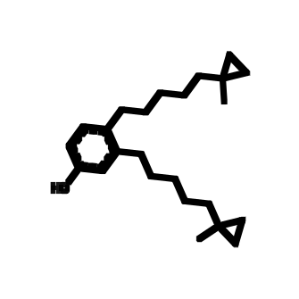 CC1(CCCCCc2ccc(O)cc2CCCCCC2(C)CC2)CC1